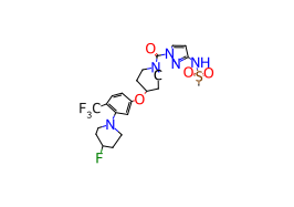 CS(=O)(=O)Nc1ccn(C(=O)N2CCC(Oc3ccc(C(F)(F)F)c(N4CCC(F)CC4)c3)CC2)n1